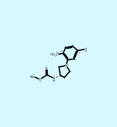 CC(C)(C)OC(=O)N[C@H]1CCN(c2cc(Cl)ccc2C(=O)O)C1